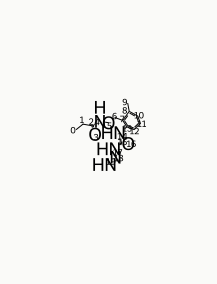 CCC(=O)NOCc1c(C)cccc1NC(=O)NN=N